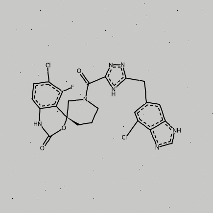 O=C1Nc2ccc(Cl)c(F)c2[C@@]2(CCCN(C(=O)c3nnc(Cc4cc(Cl)c5nc[nH]c5c4)[nH]3)C2)O1